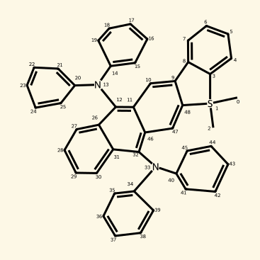 CS1(C)c2ccccc2-c2cc3c(N(c4ccccc4)c4ccccc4)c4ccccc4c(N(c4ccccc4)c4ccccc4)c3cc21